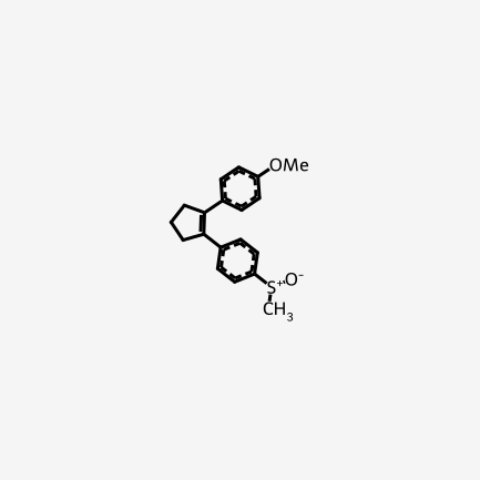 COc1ccc(C2=C(c3ccc([S+](C)[O-])cc3)CCC2)cc1